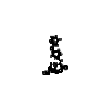 COC(=O)C(Cc1ccc(O[C@H]2CCCCO2)cn1)NC(=O)OC(C)(C)C